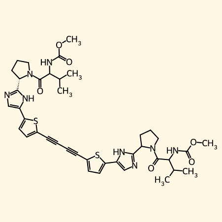 COC(=O)NC(C(=O)N1CCCC1c1ncc(-c2ccc(C#CC#Cc3ccc(-c4cnc([C@@H]5CCCN5C(=O)C(NC(=O)OC)C(C)C)[nH]4)s3)s2)[nH]1)C(C)C